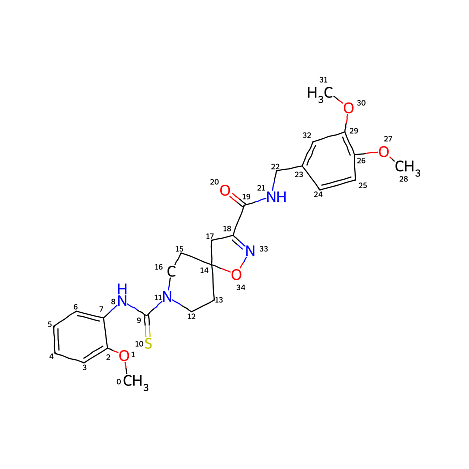 COc1ccccc1NC(=S)N1CCC2(CC1)CC(C(=O)NCc1ccc(OC)c(OC)c1)=NO2